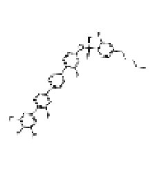 CCCCCc1ccc(C(F)(F)Oc2ccc(-c3ccc(-c4ccc(-c5cc(F)c(F)c(F)c5)c(F)c4)cc3)c(F)c2)c(F)c1